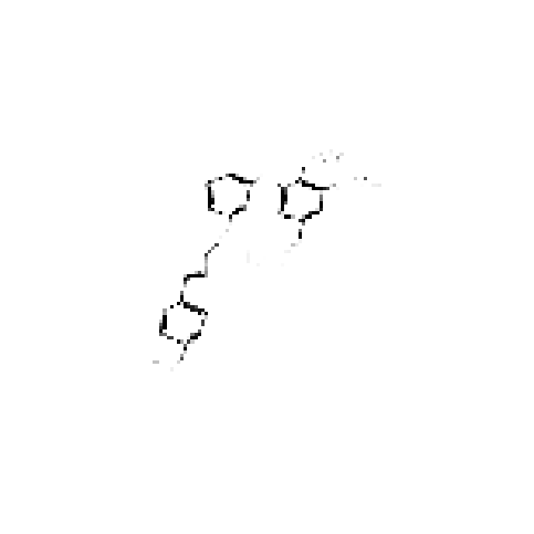 COc1cc(CC(=O)O)cc(Oc2cccc(OC/C=C/c3ccc(C(F)(F)F)cc3)c2)c1OC